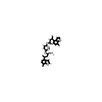 Cc1ccc(C(C)CC(N)OC(=O)/C=C\C(=O)OC(N)CC(C)c2ccc(C)c3occc23)c2ccoc12